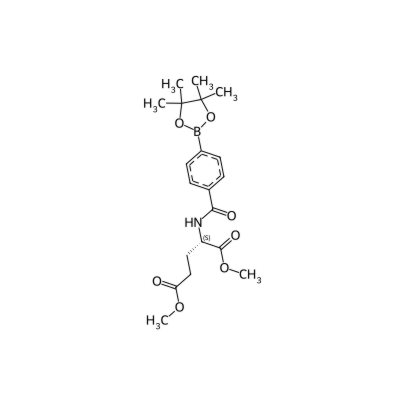 COC(=O)CC[C@H](NC(=O)c1ccc(B2OC(C)(C)C(C)(C)O2)cc1)C(=O)OC